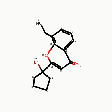 N#CCc1cccc2c(=O)cc(C3(Br)CCCC3)oc12